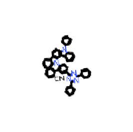 N#Cc1ccccc1-c1cc(-c2nc(-c3ccccc3)nc(-c3ccccc3)n2)ccc1-n1c2ccccc2c2ccc3c(c4ccccc4n3-c3ccccc3)c21